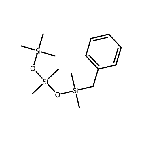 C[Si](C)(C)O[Si](C)(C)O[Si](C)(C)Cc1ccccc1